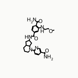 COCCNc1cc(C(=O)NC2CC3CCCN(c4ccc(C(N)=O)cn4)C3C2)ccc1C(N)=O